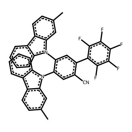 Cc1ccc2c3ccccc3n(-c3cc(C#N)c(-c4c(F)c(F)c(F)c(F)c4F)cc3-n3c4ccccc4c4ccc(C)cc43)c2c1